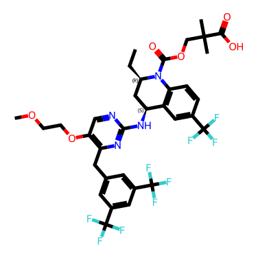 CC[C@@H]1C[C@H](Nc2ncc(OCCOC)c(Cc3cc(C(F)(F)F)cc(C(F)(F)F)c3)n2)c2cc(C(F)(F)F)ccc2N1C(=O)OCC(C)(C)C(=O)O